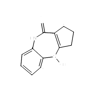 CN1C2=C(CCC2)C(=O)Nc2ccccc21